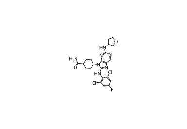 NC(=O)[C@H]1CC[C@@H](n2c(Nc3c(Cl)cc(F)cc3Cl)nc3cnc(N[C@@H]4CCOC4)nc32)CC1